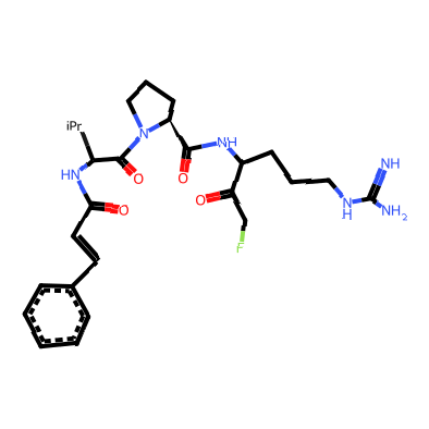 CC(C)C(NC(=O)C=Cc1ccccc1)C(=O)N1CCC[C@H]1C(=O)NC(CCCNC(=N)N)C(=O)CF